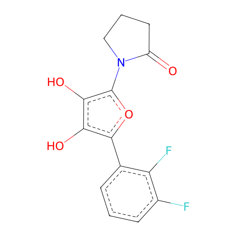 O=C1CCCN1c1oc(-c2cccc(F)c2F)c(O)c1O